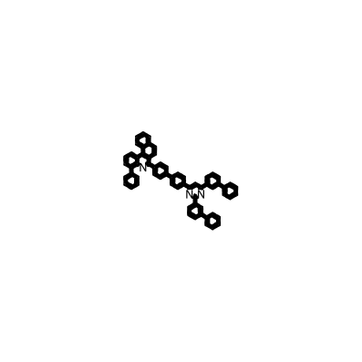 c1ccc(-c2cccc(-c3cc(-c4ccc(-c5ccc(-c6nc7c(-c8ccccc8)cccc7c7c6ccc6ccccc67)cc5)cc4)nc(-c4cccc(-c5ccccc5)c4)n3)c2)cc1